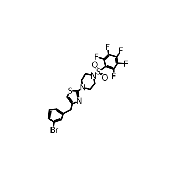 O=S(=O)(c1c(F)c(F)c(F)c(F)c1F)N1CCN(c2nc(Cc3cccc(Br)c3)cs2)CC1